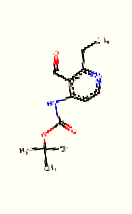 CCc1nccc(NC(=O)OC(C)(C)C)c1C=O